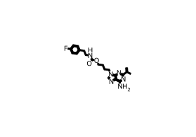 C=C(C)c1nc(N)c2ncn(CCCCOC(=O)NCCc3ccc(F)cc3)c2n1